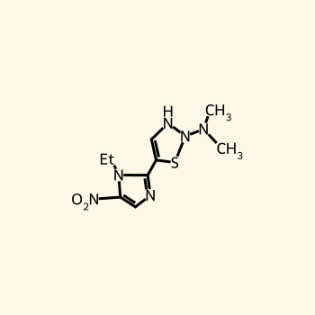 CCn1c([N+](=O)[O-])cnc1C1=CNN(N(C)C)S1